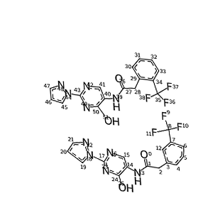 O=C(Cc1cccc(C(F)(F)F)c1)Nc1cnc(-n2cccn2)nc1O.O=C(Cc1ccccc1C(F)(F)F)Nc1cnc(-n2cccn2)nc1O